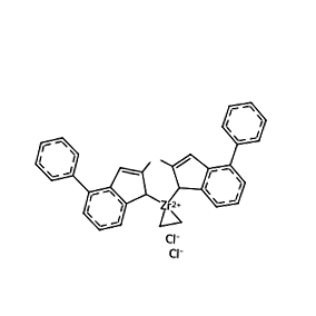 CC1=Cc2c(-c3ccccc3)cccc2[CH]1[Zr+2]1([CH]2C(C)=Cc3c(-c4ccccc4)cccc32)[CH2][CH2]1.[Cl-].[Cl-]